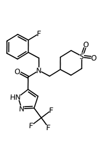 O=C(c1cc(C(F)(F)F)n[nH]1)N(Cc1ccccc1F)CC1CCS(=O)(=O)CC1